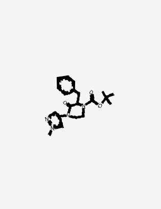 Cn1cc(N2CCN(C(=O)OC(C)(C)C)C(Cc3ccccc3)C2=O)cn1